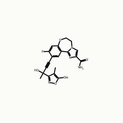 Cc1c(C(C)(O)C#Cc2cc3c(cc2F)OCCn2cc(C(N)=O)nc2-3)noc1O